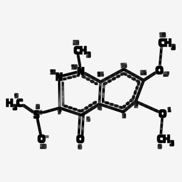 COc1cc2c(=O)c([S+](C)[O-])nn(C)c2cc1OC